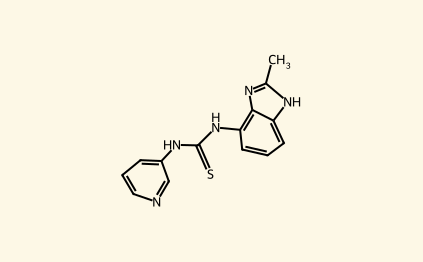 Cc1nc2c(NC(=S)Nc3cccnc3)cccc2[nH]1